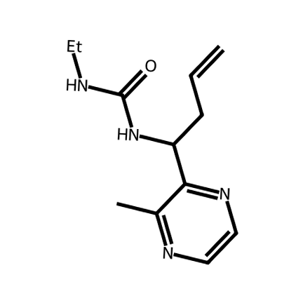 C=CCC(NC(=O)NCC)c1nccnc1C